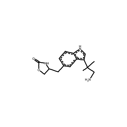 CC(C)(CN)c1c[nH]c2ccc(CC3COC(=O)N3)cc12